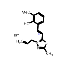 C=CC[n+]1nc(C)sc1/C=C/c1cccc(OC)c1O.[Br-]